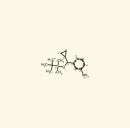 CC(C)(C)[Si](C)(C)OC(c1cc(N)ccn1)C1CC1